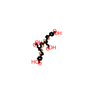 O=C(O)CCc1cc(-c2ccc(-c3ccc(C(=O)O)cc3)s2)sc1-c1ccc(-c2sc(-c3ccc(-c4ccc(C(=O)O)cc4)s3)cc2CCC(=O)O)s1